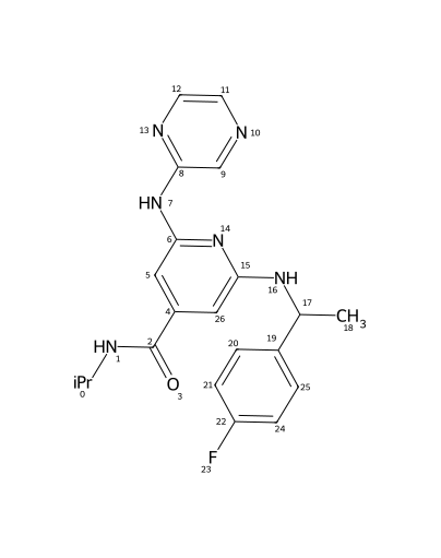 CC(C)NC(=O)c1cc(Nc2cnccn2)nc(NC(C)c2ccc(F)cc2)c1